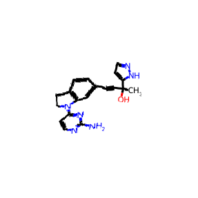 CC(O)(C#Cc1ccc2c(c1)N(c1ccnc(N)n1)CC2)c1ccn[nH]1